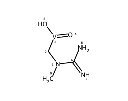 CN([CH2][V](=[O])[OH])C(=N)N